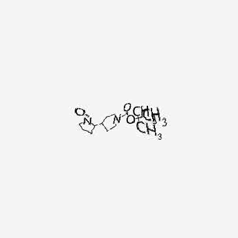 CC(C)(C)OC(=O)N1CCC(C2CCCN2C=O)CC1